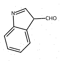 O=CC1C=Nc2ccccc21